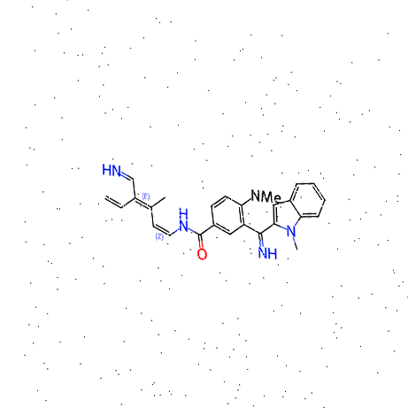 C=C/C(C=N)=C(C)\C=C/NC(=O)c1ccc(NC)c(C(=N)c2cc3ccccc3n2C)c1